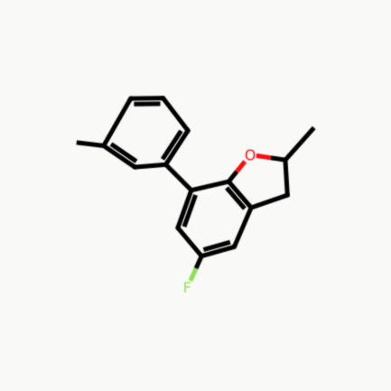 Cc1cccc(-c2cc(F)cc3c2OC(C)C3)c1